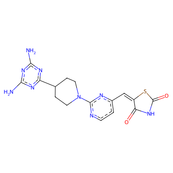 Nc1nc(N)nc(C2CCN(c3nccc(/C=C4/SC(=O)NC4=O)n3)CC2)n1